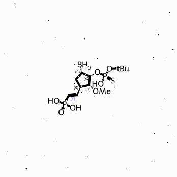 B[C@H]1C[C@H](/C=C/P(=O)(O)O)[C@@H](OC)[C@H]1OP(O)(=S)OC(C)(C)C